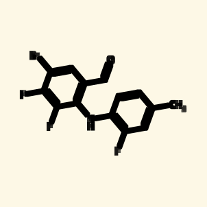 Cc1ccc(Nc2c(C=O)cc(Br)c(F)c2F)c(F)c1